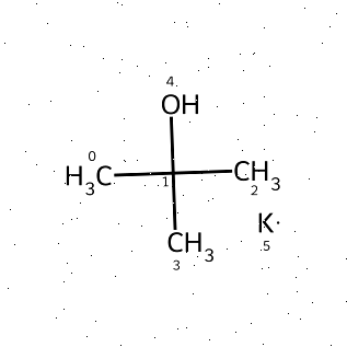 CC(C)(C)O.[K]